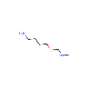 CNCOCCCCN